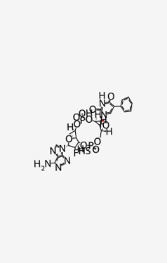 Nc1ncnc2c1ncn2[C@@H]1O[C@@]23C[C@H]2OP(=O)(O)O[C@@H]2[C@H](F)[C@@H](COP(=O)(S)O[C@H]3C1F)O[C@H]2n1cc(-c2ccccc2)c(=O)[nH]c1=O